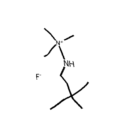 CC(C)(C)CN[N+](C)(C)C.[F-]